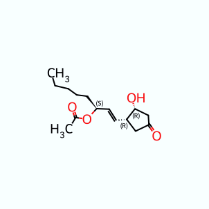 CCCCC[C@@H](C=C[C@H]1CC(=O)C[C@H]1O)OC(C)=O